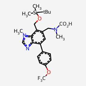 CN(Cc1cc(-c2ccc(OC(F)(F)F)cc2)c2ncn(C)c2c1CO[Si](C)(C)C(C)(C)C)C(=O)O